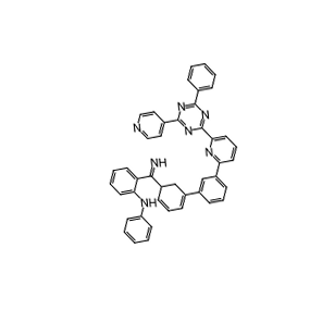 N=C(c1ccccc1Nc1ccccc1)C1C=CC=C(c2cccc(-c3cccc(-c4nc(-c5ccccc5)nc(-c5ccncc5)n4)n3)c2)C1